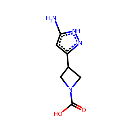 Nc1cc(C2CN(C(=O)O)C2)n[nH]1